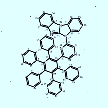 c1ccc(-c2c(-c3ccccc3)c(-c3ccccc3)c(-c3cncc(-n4c5ccccc5n5c6ccccc6nc45)n3)c(-c3ccccc3)c2-c2ccccc2)cc1